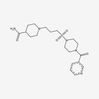 NC(=O)C1CCN(CCCS(=O)(=O)N2CCN(C(=O)c3cccnc3)CC2)CC1